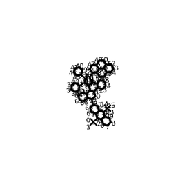 CC(C)(C)c1c2ccccc2c(C(C)(C)C)c2cc(-c3cc4c5ccccc5c5c(c(-c6ccccc6)c(-c6ccccc6)n5-c5ccc6ccc7cccc8ccc5c6c78)c4c4ccccc34)ccc12